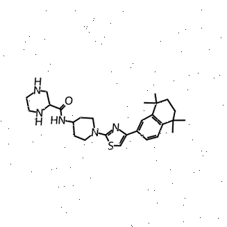 CC1(C)CCC(C)(C)c2cc(-c3csc(N4CCC(NC(=O)C5CNCCN5)CC4)n3)ccc21